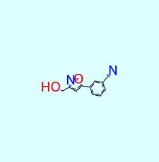 N#Cc1cccc(-c2cc(CO)no2)c1